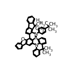 CC(C)(C)c1ccc(N2B3c4cccc5c4N(c4ccccc4C5(C)C)c4cc5c(oc6ccccc65)c(c43)-c3ccc4c(c32)C(C)(C)c2ccccc2-4)cc1